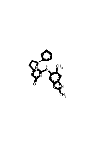 Cc1nc2cc(C)c(Nc3nc(=O)cc4n3[C@H](c3ccccc3)CC4)cc2s1